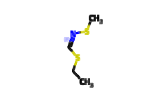 CCS/C=N\SC